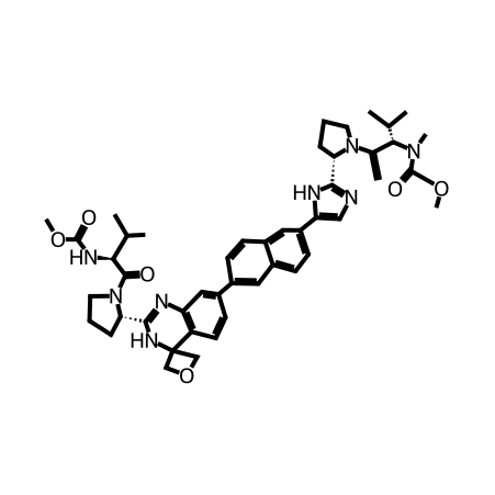 C=C([C@H](C(C)C)N(C)C(=O)OC)N1CCC[C@H]1c1ncc(-c2ccc3cc(-c4ccc5c(c4)N=C([C@@H]4CCCN4C(=O)[C@@H](NC(=O)OC)C(C)C)NC54COC4)ccc3c2)[nH]1